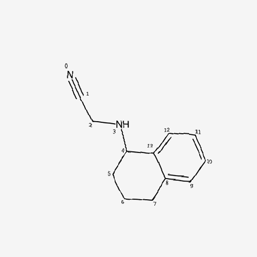 N#CCNC1CCCc2ccccc21